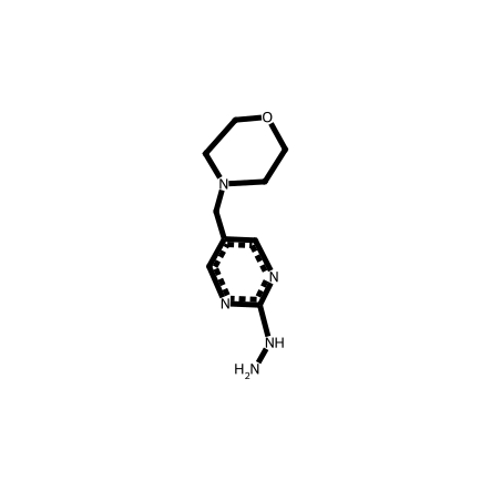 NNc1ncc(CN2CCOCC2)cn1